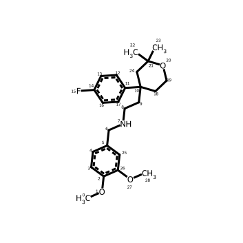 COc1ccc(CNCCC2(c3ccc(F)cc3)CCOC(C)(C)C2)cc1OC